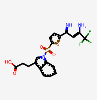 N=C(/C=C(\N)C(F)(F)F)c1ccc(S(=O)(=O)n2cc(CCC(=O)O)c3ccccc32)s1